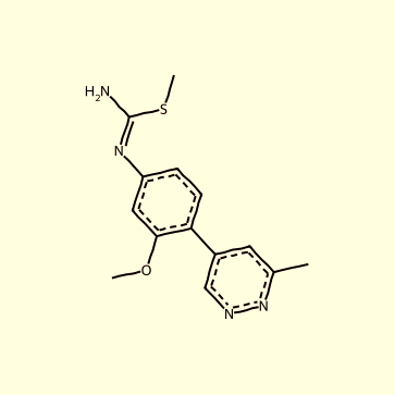 COc1cc(/N=C(/N)SC)ccc1-c1cnnc(C)c1